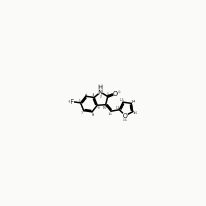 O=C1Nc2cc(F)ccc2C1=Cc1ccco1